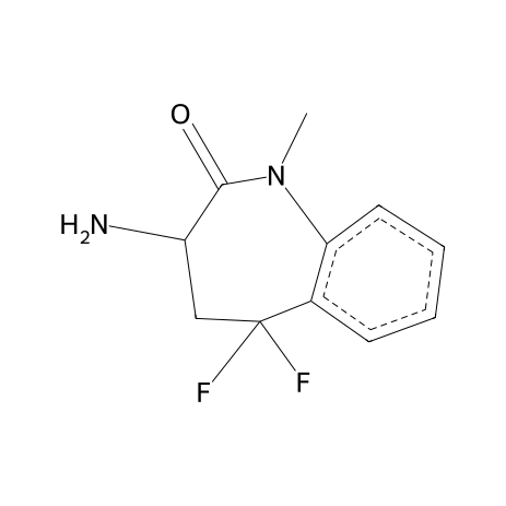 CN1C(=O)C(N)CC(F)(F)c2ccccc21